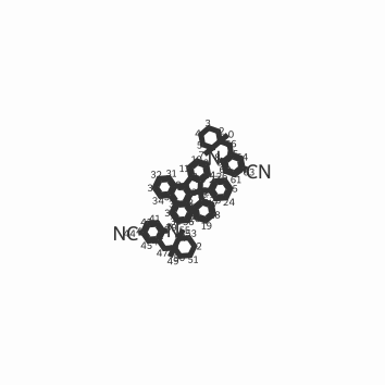 CC12CCCCC1(C)N(c1ccc3c(c1)C(c1ccccc1)(c1ccccc1)c1c-3c3ccccc3c3cc(N4c5ccc(C#N)cc5CC5(C)CCCCC45C)ccc13)c1ccc(C#N)cc1C2